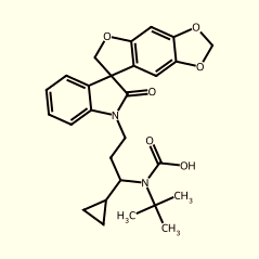 CC(C)(C)N(C(=O)O)C(CCN1C(=O)C2(COc3cc4c(cc32)OCO4)c2ccccc21)C1CC1